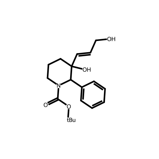 CC(C)(C)OC(=O)N1CCCC(O)(C=CCO)C1c1ccccc1